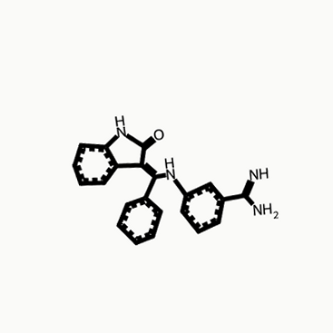 N=C(N)c1cccc(N/C(=C2\C(=O)Nc3ccccc32)c2ccccc2)c1